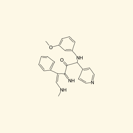 CN/C=C(\C(=N)C(=O)C(Nc1cccc(OC)c1)c1ccncc1)c1ccccc1